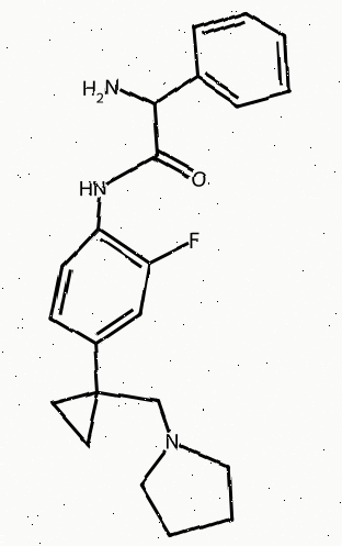 NC(C(=O)Nc1ccc(C2(CN3CCCC3)CC2)cc1F)c1ccccc1